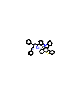 CC12C=CC=CC1c1sc3ccccc3c1-c1c2n(-c2cccc(C(N)/C=C(\C=C\c3ccccc3)c3ccccc3)c2)c2ccccc12